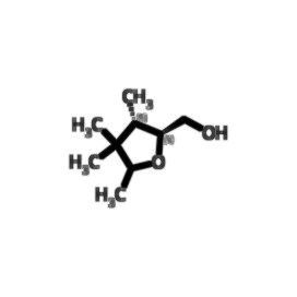 CC1O[C@H](CO)[C@@H](C)C1(C)C